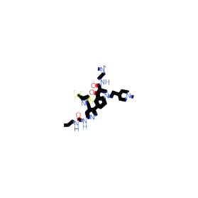 CCCNC(=O)Nc1cc(-c2nc(C(F)(F)F)cs2)c(-c2ccc3c(c2)c(=O)c(C(=O)NCCN(C)C)cn3CCC2CCN(C)CC2)cn1